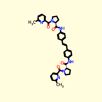 Cc1cccc(C(=O)N2CCC[C@H]2C(=O)Nc2ccc(/C=C/c3ccc(NC(=O)[C@@H]4CCCN4C(=O)c4cccc(C)n4)cc3)cc2)n1